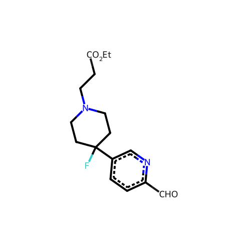 CCOC(=O)CCN1CCC(F)(c2ccc(C=O)nc2)CC1